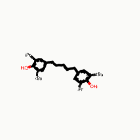 CC(C)c1cc(CCCCCc2cc(C(C)C)c(O)c(C(C)(C)C)c2)cc(C(C)(C)C)c1O